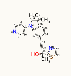 CC1(C)CN(c2ccncc2)c2cc(C#C[C@@](C)(O)c3nccs3)ccc21